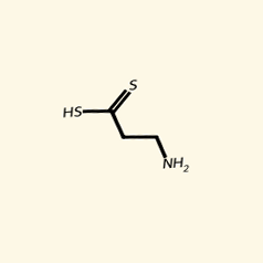 NCCC(=S)S